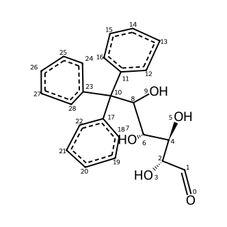 O=C[C@H](O)[C@H](O)[C@H](O)C(O)C(c1ccccc1)(c1ccccc1)c1ccccc1